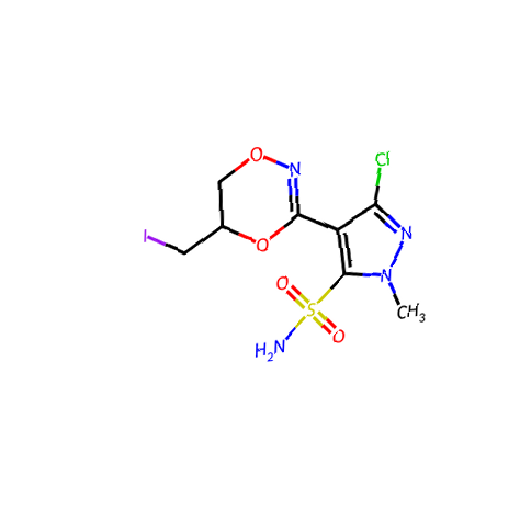 Cn1nc(Cl)c(C2=NOCC(CI)O2)c1S(N)(=O)=O